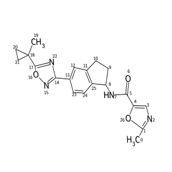 Cc1ncc(C(=O)NC2CCc3cc(-c4noc(C5(C)CC5)n4)ccc32)o1